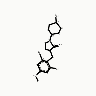 COc1cc(Cl)c(CC2CCN(C3CCC(O)CC3)C2=O)c(Cl)c1